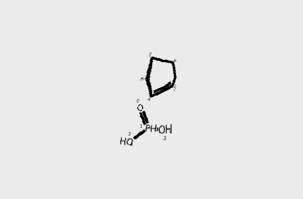 O=[PH](O)O.[C]1=CCCC1